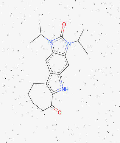 CC(C)n1c(=O)n(C(C)C)c2cc3c4c([nH]c3cc21)C(=O)CCCC4